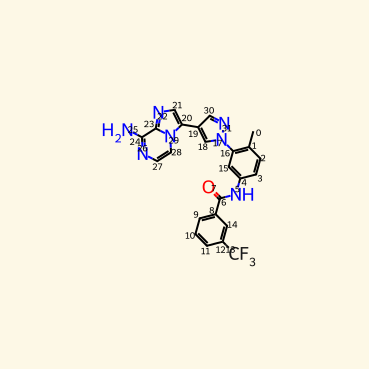 Cc1ccc(NC(=O)c2cccc(C(F)(F)F)c2)cc1-n1cc(-c2cnc3c(N)nccn23)cn1